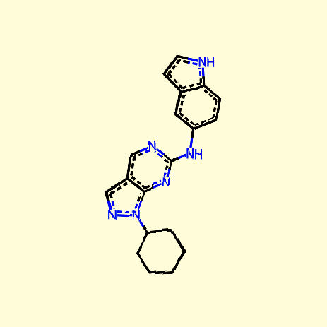 c1cc2cc(Nc3ncc4cnn(C5CCCCC5)c4n3)ccc2[nH]1